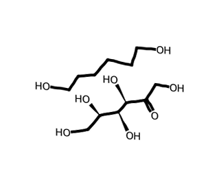 O=C(CO)[C@H](O)[C@@H](O)[C@H](O)CO.OCCCCCCO